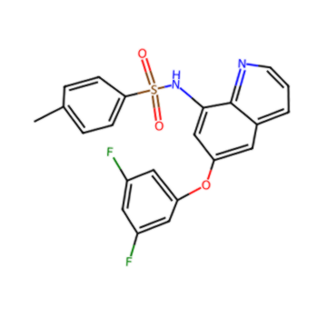 Cc1ccc(S(=O)(=O)Nc2cc(Oc3cc(F)cc(F)c3)cc3cccnc23)cc1